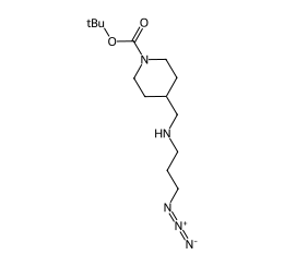 CC(C)(C)OC(=O)N1CCC(CNCCCN=[N+]=[N-])CC1